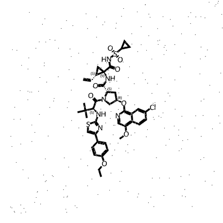 C=C[C@@H]1C[C@]1(NC(=O)[C@@H]1C[C@@H](Oc2ncc(OC)c3ccc(Cl)cc23)CN1C(=O)[C@@H](Nc1nc(-c2ccc(OCC)cc2)cs1)C(C)(C)C)C(=O)NS(=O)(=O)C1CC1